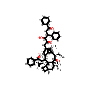 C=C(C)C[C@@]12CC[C@@H]1C[C@H](C)[C@@]1(C)C(=O)[C@H](CC(C)=O)C3=C(C)C(CC(=O)C(O)C(CC(=O)c4ccccc4)c4ccccc4)C[C@@](C)(C(CC(=O)c4ccccc4)C21C)[C@H]3C